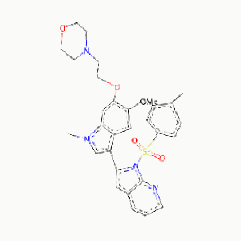 COc1cc2c(-c3cc4cccnc4n3S(=O)(=O)c3ccc(C)cc3)cn(C)c2cc1OCCN1CCOCC1